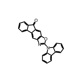 O=C1c2ccccc2-c2cc3nc(-n4c5ccccc5c5ccccc54)oc3cc21